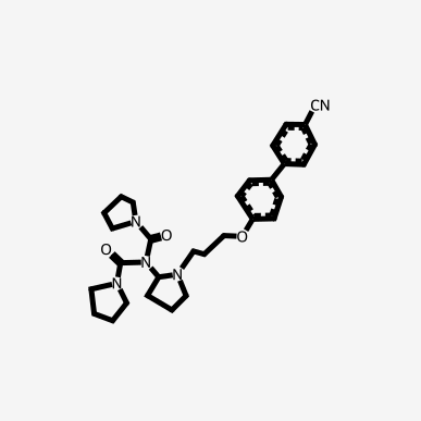 N#Cc1ccc(-c2ccc(OCCCN3CCCC3N(C(=O)N3CCCC3)C(=O)N3CCCC3)cc2)cc1